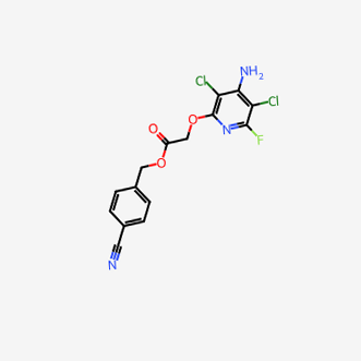 N#Cc1ccc(COC(=O)COc2nc(F)c(Cl)c(N)c2Cl)cc1